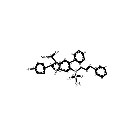 CNC(=O)c1c(-c2ccc(F)cc2)oc2cc(N(C/C=C/c3ccccc3)S(C)(=O)=O)c(-c3ccccc3)cc12